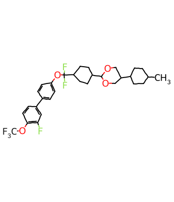 CC1CCC(C2COC(C3CCC(C(F)(F)Oc4ccc(-c5ccc(OC(F)(F)F)c(F)c5)cc4)CC3)OC2)CC1